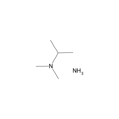 CC(C)N(C)C.N